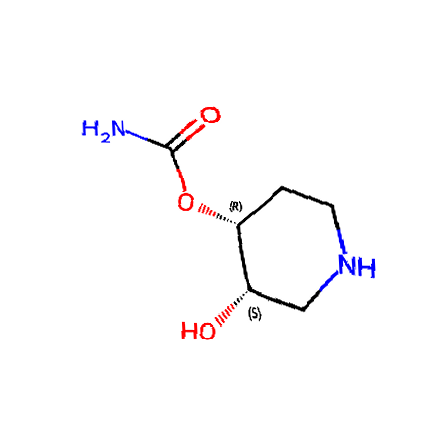 NC(=O)O[C@@H]1CCNC[C@@H]1O